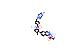 Cc1ccc(NC(=O)c2ccc(CN3CCN(C)CC3)cc2)cc1-c1ccc2cc(NC(=O)C3CC3)ncc2c1